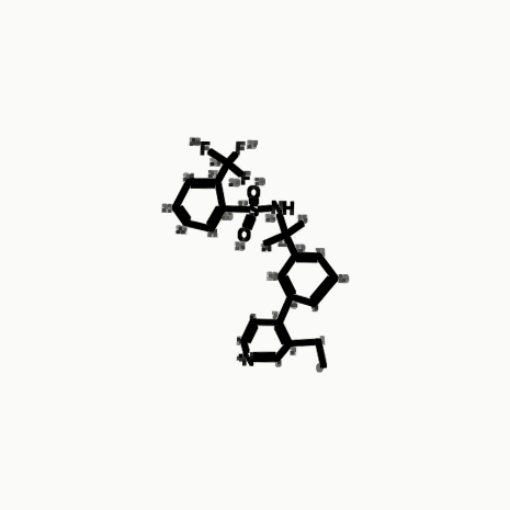 CCc1cnccc1-c1cccc(C(C)(C)NS(=O)(=O)c2ccccc2C(F)(F)F)c1